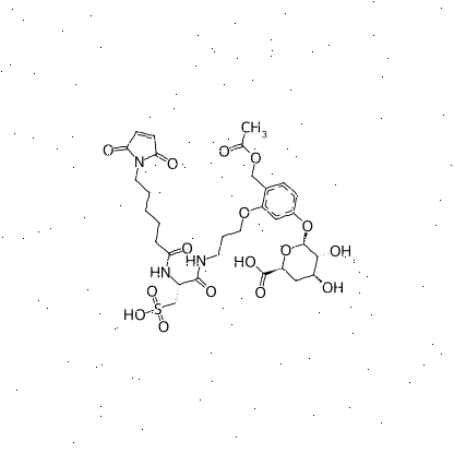 CC(=O)OCc1ccc(O[C@@H]2O[C@H](C(=O)O)C[C@H](O)[C@H]2O)cc1OCCCNC(=O)[C@H](CS(=O)(=O)O)NC(=O)CCCCCN1C(=O)C=CC1=O